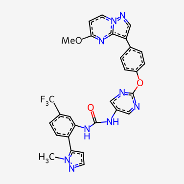 COc1ccn2ncc(-c3ccc(Oc4ncc(NC(=O)Nc5cc(C(F)(F)F)ccc5-c5ccnn5C)cn4)cc3)c2n1